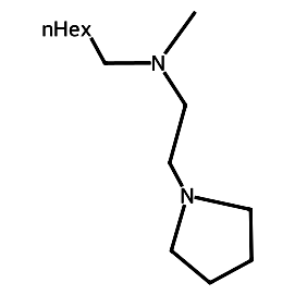 CCCCCCCN(C)CCN1CCCC1